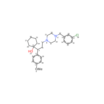 COc1ccc(C(CCN2CCN(Cc3cccc(Cl)c3)CC2)C2(O)CCCCC2)cc1